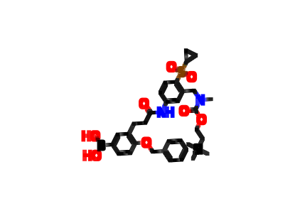 CN(Cc1cc(NC(=O)CCc2cc(B(O)O)ccc2OCc2ccccc2)ccc1S(=O)(=O)C1CC1)C(=O)OCC[Si](C)(C)C